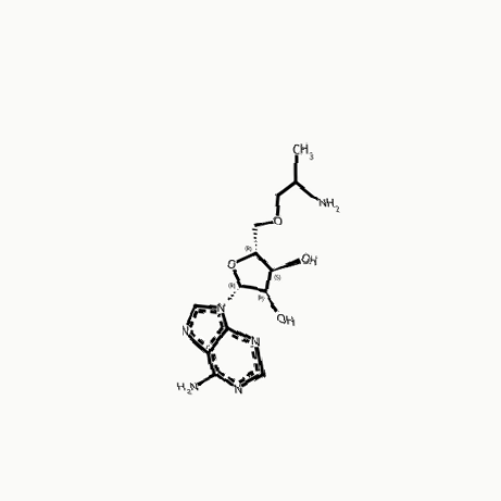 CC(N)COC[C@H]1O[C@@H](n2cnc3c(N)ncnc32)[C@H](O)[C@@H]1O